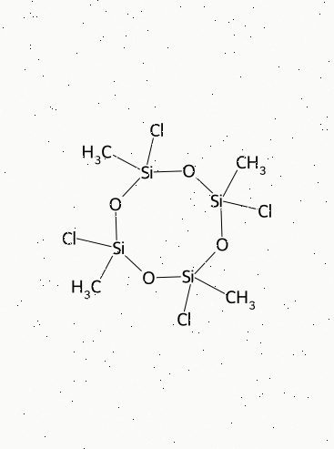 C[Si]1(Cl)O[Si](C)(Cl)O[Si](C)(Cl)O[Si](C)(Cl)O1